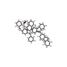 c1ccc(N(c2ccc3c(c2)C2(c4ccccc4O3)c3ccccc3-c3cccc4cccc2c34)c2ccc3c4ccccc4n(-c4ccc5c(c4)sc4ccccc45)c3c2)cc1